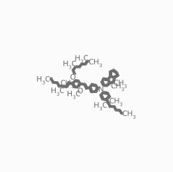 CCCCCCC(C)(C)c1ccc(N(c2ccc(C=Cc3cc(OCCC(C)CCCC(C)C)c(C=CC(C)(C)CCCCC)cc3OC)cc2)c2ccc3c(c2)C(C)(C)c2ccccc2-3)cc1